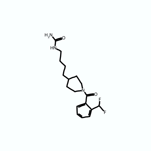 NC(=O)NCCCCC1CCN(C(=O)c2ccccc2C(F)F)CC1